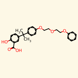 CC(C)(c1ccc(OCCOCCOc2ccccc2)cc1)c1ccc(O)c(C(=O)O)c1